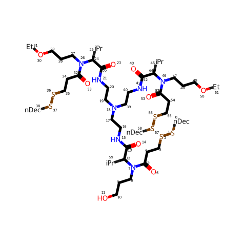 CCCCCCCCCCSSCCC(=O)N(CCCO)C(C(=O)NCCN(CCNC(=O)C(C(C)C)N(CCCOCC)C(=O)CCSSCCCCCCCCCC)CCNC(=O)C(C(C)C)N(CCCOCC)C(=O)CCSSCCCCCCCCCC)C(C)C